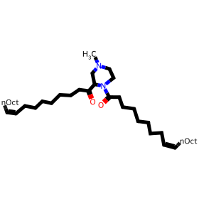 CCCCCCCC/C=C\CCCCCCCC(=O)C1CN(C)CCN1C(=O)CCCCCCC/C=C\CCCCCCCC